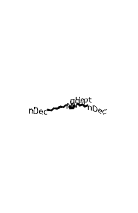 CCCCCCCCCCCCCCCCCn1cc[n+](CCCCCCCCCCCCCCC)c1CCCCCCC